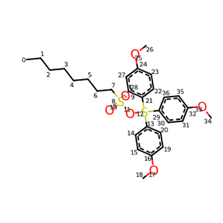 CCCCCCCCS(=O)(=O)OS(c1ccc(OC)cc1)(c1ccc(OC)cc1)c1ccc(OC)cc1